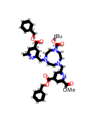 COC(=O)c1cc(C(=O)OCc2ccccc2)cc(CN2CCN(Cc3cc(C(=O)OCc4ccccc4)cc(C)n3)CCN(C(=O)OC(C)(C)C)CC2)n1